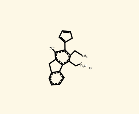 CCc1c(CC)c2c([c]([Zr+2])c1C1=CC=CC1)Cc1ccccc1-2.[Cl-].[Cl-]